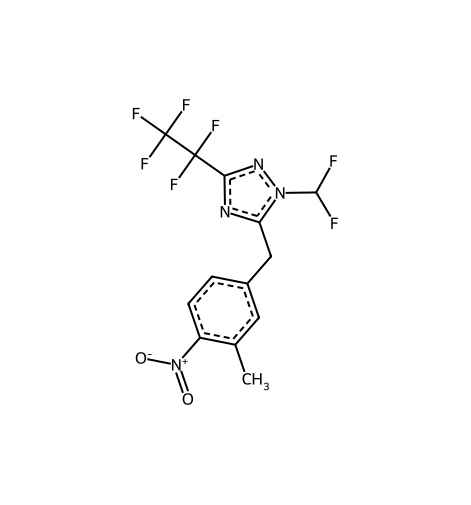 Cc1cc(Cc2nc(C(F)(F)C(F)(F)F)nn2C(F)F)ccc1[N+](=O)[O-]